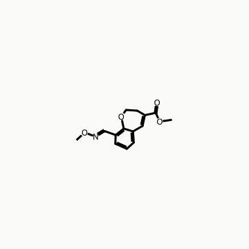 CON=Cc1cccc2c1OCCC(C(=O)OC)=C2